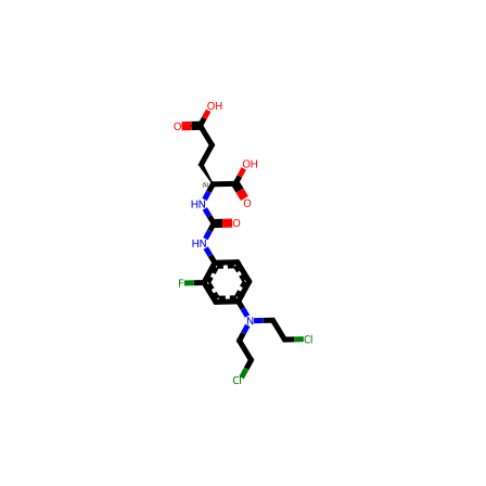 O=C(O)CC[C@H](NC(=O)Nc1ccc(N(CCCl)CCCl)cc1F)C(=O)O